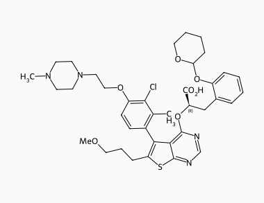 COCCCc1sc2ncnc(O[C@H](Cc3ccccc3OC3CCCCO3)C(=O)O)c2c1-c1ccc(OCCN2CCN(C)CC2)c(Cl)c1C